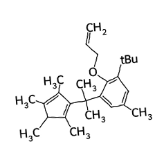 C=CCOc1c(C(C)(C)C)cc(C)cc1C(C)(C)C1=C(C)C(C)C(C)=C1C